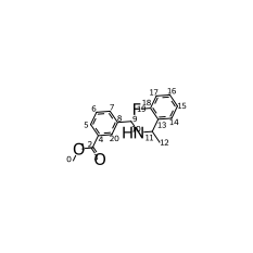 COC(=O)c1cccc(CNC(C)c2ccccc2F)c1